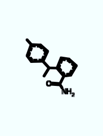 Cc1ccc(C(C)c2ccccc2C(N)=O)cc1